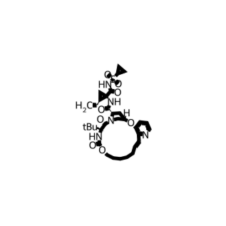 C=C[C@@H]1C[C@]1(NC(=O)[C@@H]1C[C@@H]2CN1C(=O)[C@H](C(C)(C)C)NC(=O)OCCCCC/C=C/c1ncccc1O2)C(=O)NS(=O)(=O)C1CC1